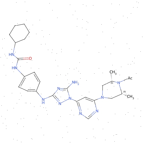 CC(=O)N1[C@H](C)CN(c2cc(-n3nc(Nc4ccc(NC(=O)NC5CCCCC5)cc4)nc3N)ncn2)C[C@@H]1C